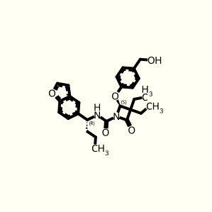 CCC[C@@H](NC(=O)N1C(=O)C(CC)(CC)[C@@H]1Oc1ccc(CO)cc1)c1ccc2occc2c1